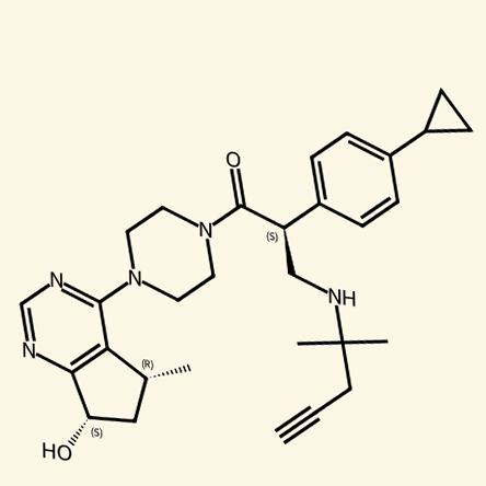 C#CCC(C)(C)NC[C@@H](C(=O)N1CCN(c2ncnc3c2[C@H](C)C[C@@H]3O)CC1)c1ccc(C2CC2)cc1